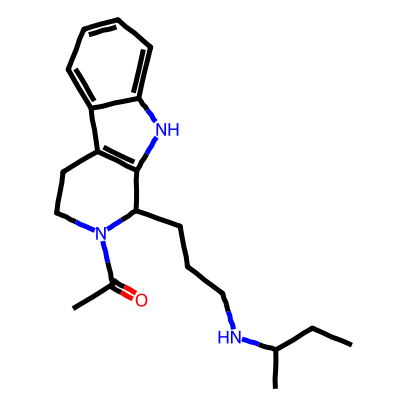 CCC(C)NCCCC1c2[nH]c3ccccc3c2CCN1C(C)=O